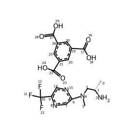 C[C@H](N)CN(C)c1cnc(C(F)(F)F)cn1.O=C(O)c1cc(C(=O)O)cc(C(=O)O)c1